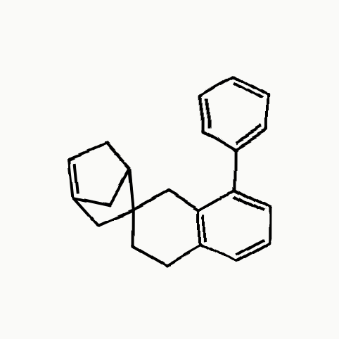 C1=C2CC(C1)C1(CCc3cccc(-c4ccccc4)c3C1)C2